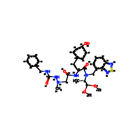 CCOC(OCC)[C@H](C)N(Cc1cccc2nsnc12)C(=O)[C@H](Cc1ccc(O)cc1)NC(=O)CN(C)NC(=O)NCc1ccccc1